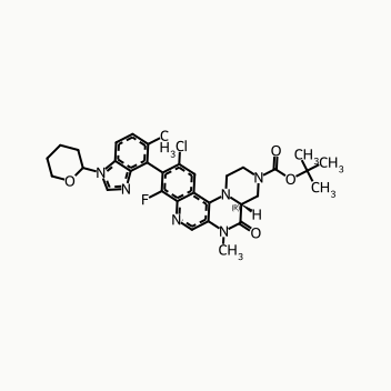 Cc1ccc2c(ncn2C2CCCCO2)c1-c1c(Cl)cc2c3c(cnc2c1F)N(C)C(=O)[C@H]1CN(C(=O)OC(C)(C)C)CCN31